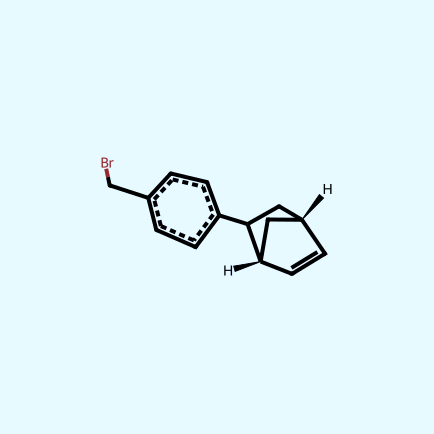 BrCc1ccc(C2C[C@@H]3C=C[C@H]2C3)cc1